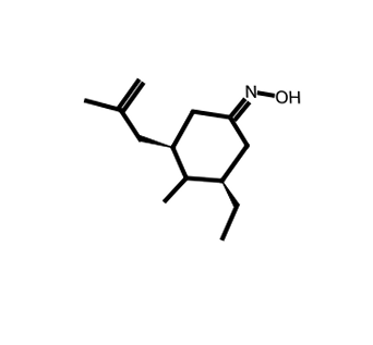 C=C(C)C[C@H]1CC(=NO)C[C@@H](CC)C1C